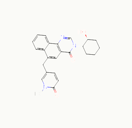 Cn1cc(Cc2cc3c(=O)n([C@H]4CCCC[C@@H]4O)cnc3c3ccccc23)ccc1=O